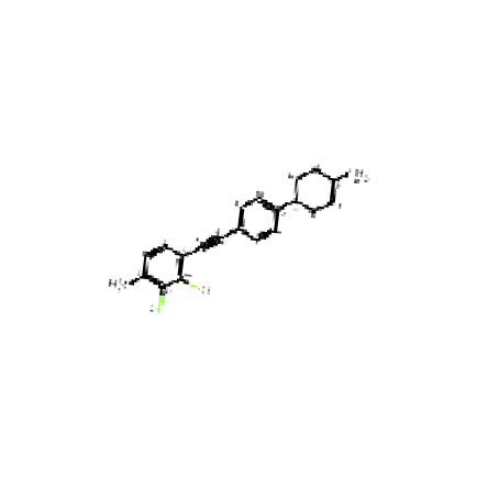 Cc1ccc(C#Cc2ccc(C3CCC(C)CC3)cc2)c(F)c1F